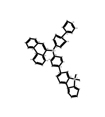 C[Si]1(C)c2ccccc2-c2ccc(-c3ccc(N(c4ccc(-c5ccccc5)cc4)c4cc5ccccc5c5ccccc45)cc3)cc21